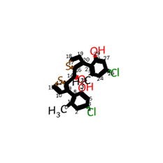 Cc1cc(Cl)cc(O)c1-c1ccsc1C(=O)c1sccc1-c1c(C)cc(Cl)cc1O